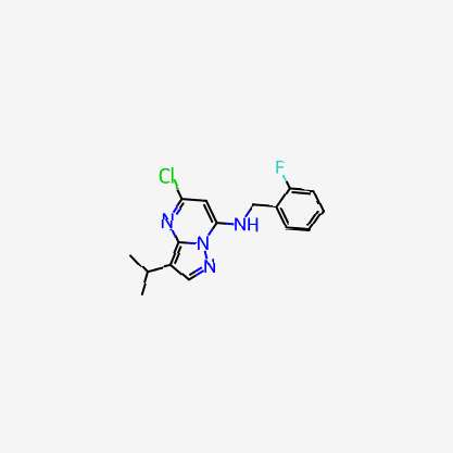 CC(C)c1cnn2c(NCc3ccccc3F)cc(Cl)nc12